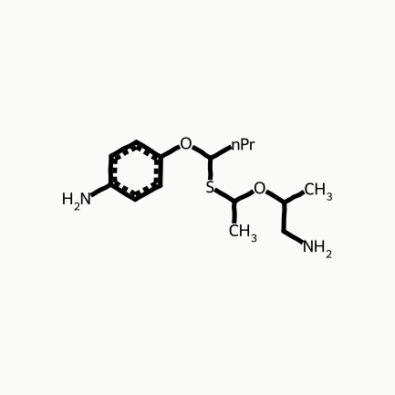 CCCC(Oc1ccc(N)cc1)SC(C)OC(C)CN